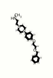 CNCCN1CCN(c2ccc(OCCOCc3ccccc3)cc2)CC1